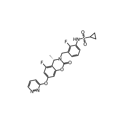 C[C@H]1c2c(F)cc(Oc3cccnn3)cc2OC(=O)N1Cc1cccc(NS(=O)(=O)C2CC2)c1F